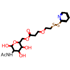 CC(=O)NC1C(O)OC(COC(=O)CCOCCSSc2ccccn2)C(O)C1O